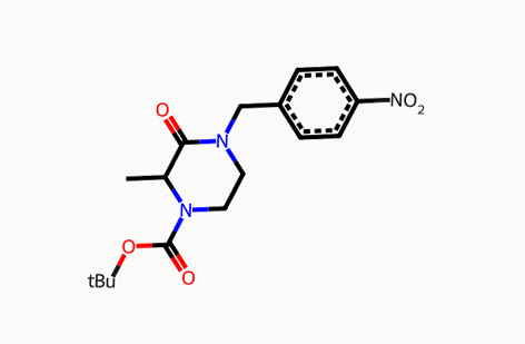 CC1C(=O)N(Cc2ccc([N+](=O)[O-])cc2)CCN1C(=O)OC(C)(C)C